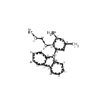 Bc1cc(C)cc(-n2c3ccccc3c3ccccc32)c1OCOCC